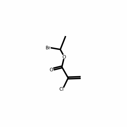 C=C(Cl)C(=O)OC(C)Br